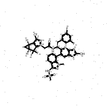 Cn1nc(NS(C)(=O)=O)c2cccc(-c3cc4sc(O)nc4nc3[C@H](Cc3cc(F)cc(F)c3)NC(=O)Cn3nc(C(F)(F)F)c4c3C(F)(F)[C@@H]3C[C@H]43)c21